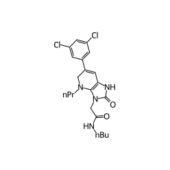 CCCCNC(=O)Cn1c2c([nH]c1=O)C=C(c1cc(Cl)cc(Cl)c1)CN2CCC